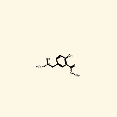 CC(C)(C)OC(=O)c1cc(C[C@H](N)C(=O)O)ccc1O